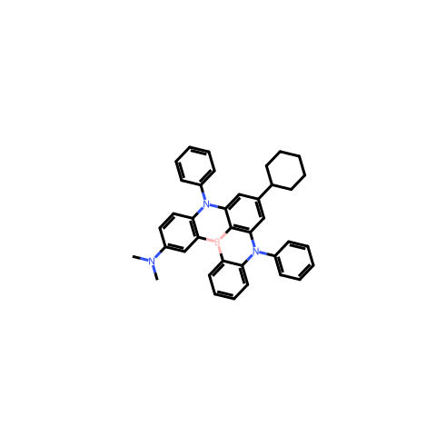 CN(C)c1ccc2c(c1)B1c3ccccc3N(c3ccccc3)c3cc(C4CCCCC4)cc(c31)N2c1ccccc1